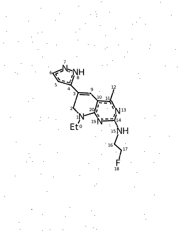 CCN1CC(c2ccn[nH]2)=Cc2c(C)nc(NCCF)nc21